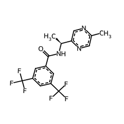 Cc1cnc([C@H](C)NC(=O)c2cc(C(F)(F)F)cc(C(F)(F)F)c2)cn1